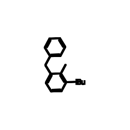 CCC(C)c1cccc(Cc2ccccc2)c1C